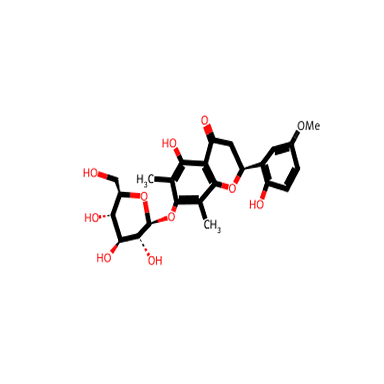 COc1ccc(O)c([C@@H]2CC(=O)c3c(O)c(C)c(O[C@@H]4O[C@H](CO)[C@@H](O)[C@H](O)[C@H]4O)c(C)c3O2)c1